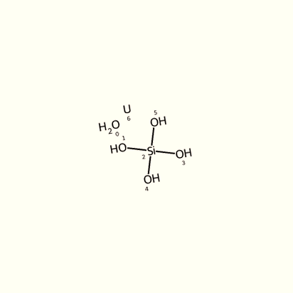 O.O[Si](O)(O)O.[U]